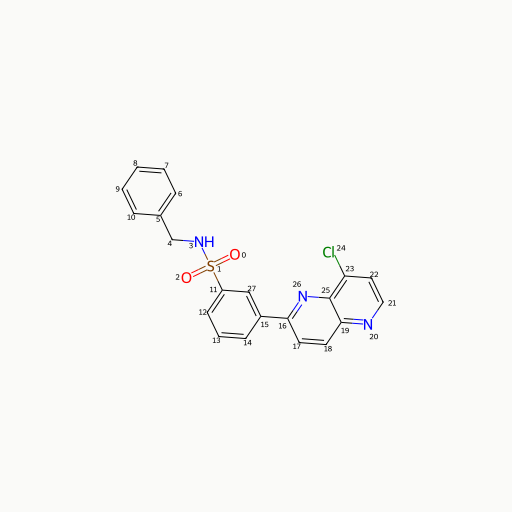 O=S(=O)(NCc1ccccc1)c1cccc(-c2ccc3nccc(Cl)c3n2)c1